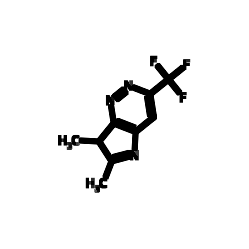 CC1=Nc2cc(C(F)(F)F)nnc2C1C